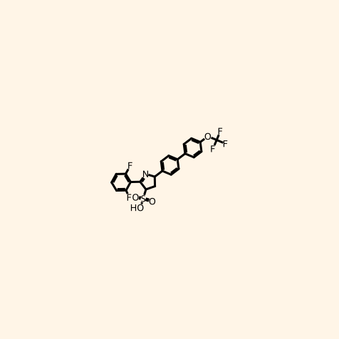 O=S(=O)(O)C1CC(c2ccc(-c3ccc(OC(F)(F)F)cc3)cc2)N=C1c1c(F)cccc1F